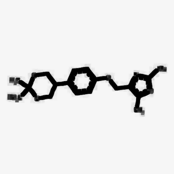 Cc1oc(C(C)(C)C)nc1COc1ccc(C2COC(C)(C(=O)O)OC2)cc1